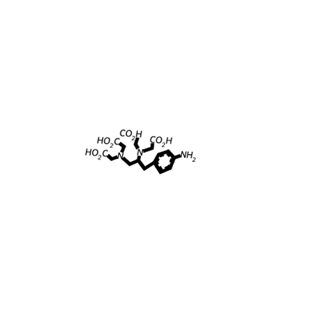 Nc1ccc(CC(CN(CC(=O)O)CC(=O)O)N(CC(=O)O)CC(=O)O)cc1